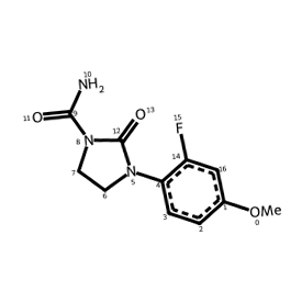 COc1ccc(N2CCN(C(N)=O)C2=O)c(F)c1